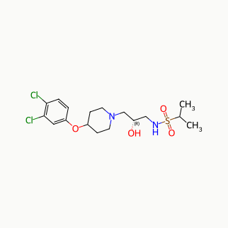 CC(C)S(=O)(=O)NC[C@H](O)CN1CCC(Oc2ccc(Cl)c(Cl)c2)CC1